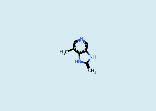 C=C1Nc2cncc(C)c2N1